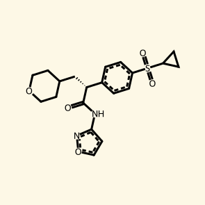 O=C(Nc1ccon1)[C@H](CC1CCOCC1)c1ccc(S(=O)(=O)C2CC2)cc1